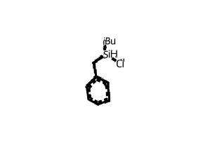 CCC(C)[SiH](Cl)Cc1ccccc1